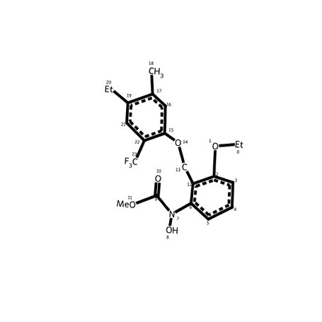 CCOc1cccc(N(O)C(=O)OC)c1COc1cc(C)c(CC)cc1C(F)(F)F